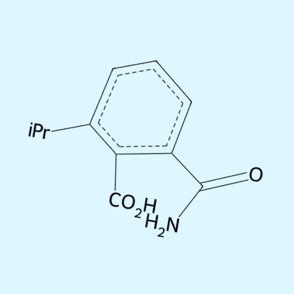 CC(C)c1cccc(C(N)=O)c1C(=O)O